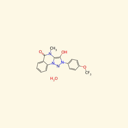 CN1C(=O)c2ccccc2N2[N]N(c3ccc(OC(F)(F)F)cc3)C(O)=C12.O